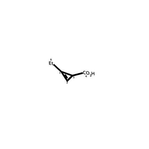 CCC1=CC1C(=O)O